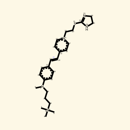 CN(CCC[N+](C)(C)C)c1ccc(/C=C/c2cc[n+](CCSC3=NCCN3)cc2)cc1